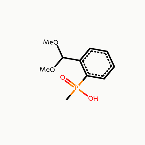 COC(OC)c1ccccc1P(C)(=O)O